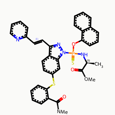 CNC(=O)c1ccccc1Sc1ccc2c(/C=C/c3ccccn3)nn(P(=S)(N[C@@H](C)C(=O)OC)Oc3cccc4ccccc34)c2c1